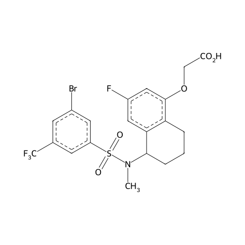 CN(C1CCCc2c(OCC(=O)O)cc(F)cc21)S(=O)(=O)c1cc(Br)cc(C(F)(F)F)c1